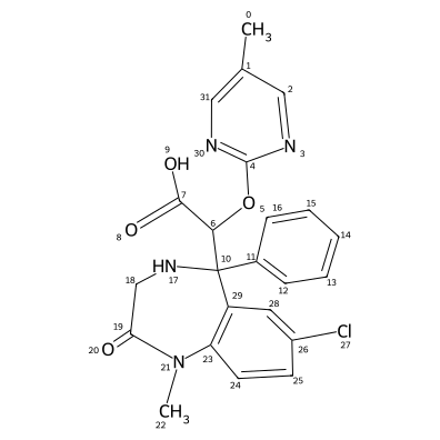 Cc1cnc(OC(C(=O)O)C2(c3ccccc3)NCC(=O)N(C)c3ccc(Cl)cc32)nc1